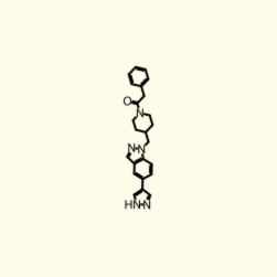 O=C(Cc1ccccc1)N1CCC(Cn2ncc3cc(-c4cn[nH]c4)ccc32)CC1